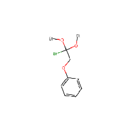 CCOC(Br)(COc1[c]cccc1)OCC